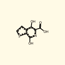 O=C(O)c1nc(O)c2sccc2c1O